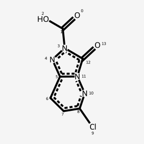 O=C(O)n1nc2ccc(Cl)nn2c1=O